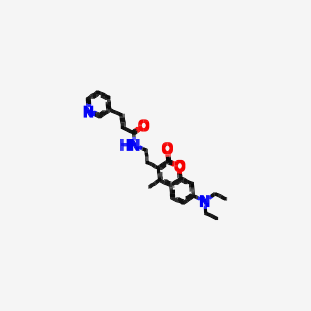 CCN(CC)c1ccc2c(C)c(CCNC(=O)/C=C/c3cccnc3)c(=O)oc2c1